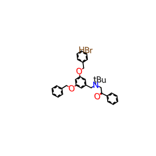 Br.CC(C)(C)N(CC(=O)c1ccccc1)Cc1cc(OCc2ccccc2)cc(OCc2ccccc2)c1